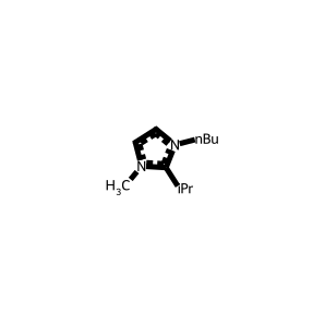 CCCCn1cc[n+](C)c1C(C)C